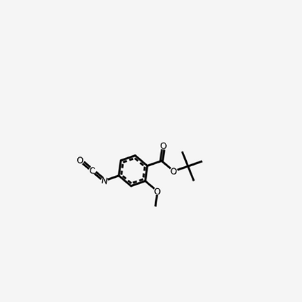 COc1cc(N=C=O)ccc1C(=O)OC(C)(C)C